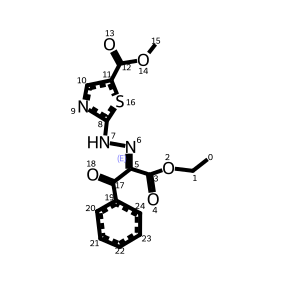 CCOC(=O)/C(=N/Nc1ncc(C(=O)OC)s1)C(=O)c1ccccc1